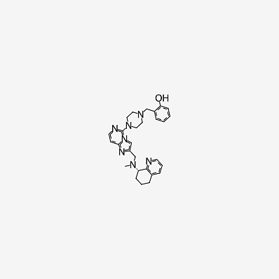 CN(Cc1cn2c(N3CCN(Cc4ccccc4O)CC3)nccc2n1)[C@H]1CCCc2cccnc21